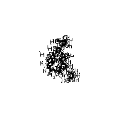 C[C@H](CC[C@@H](O[C@@H]1O[C@H](CO[C@H]2O[C@H](CO)[C@@H](O)[C@H](O)[C@H]2O)[C@@H](O)[C@H](O)[C@H]1O[C@@H]1O[C@H](CO)[C@@H](O)[C@H](O)[C@H]1O)C(C)(C)O)C1CC[C@@]2(C)C3CC=C4C(CC[C@H](O[C@@H]5O[C@H](CO)[C@@H](O[C@H]6O[C@H](CO)[C@@H](O)[C@H](O)[C@H]6O)[C@H](O)[C@H]5O)C4(C)C)[C@]3(C)[C@H](O)C[C@]12C